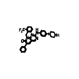 O=c1c(-c2ccccc2)cc2cnc(Nc3ccc(N4CCNCC4)cc3)nc2n1Cc1ccccc1C(F)(F)F